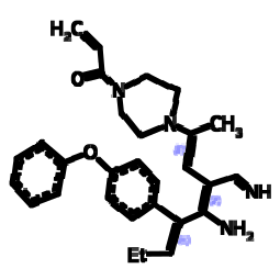 C=CC(=O)N1CCN(/C(C)=C/C(C=N)=C(N)\C(=C\CC)c2ccc(Oc3ccccc3)cc2)CC1